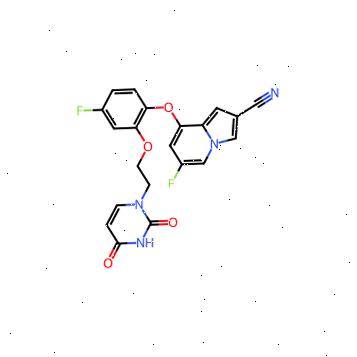 N#Cc1cc2c(Oc3ccc(F)cc3OCCn3ccc(=O)[nH]c3=O)cc(F)cn2c1